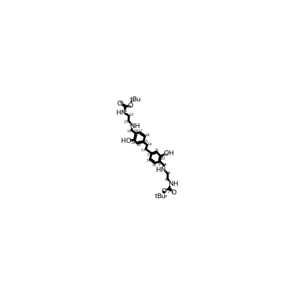 CC(C)(C)OC(=O)NCCNCc1ccc(CCc2ccc(CNCCNC(=O)OC(C)(C)C)c(O)c2)cc1O